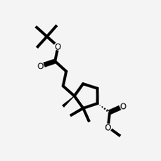 COC(=O)[C@H]1CC[C@@](C)(CCC(=O)OC(C)(C)C)C1(C)C